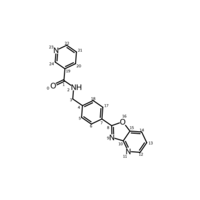 O=C(NCc1ccc(-c2nc3ncccc3o2)cc1)c1cccnc1